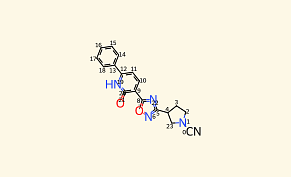 N#CN1CCC(c2noc(-c3ccc(-c4ccccc4)[nH]c3=O)n2)C1